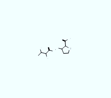 CC(O)C(N)C(=O)OOC1CCNC1C(=O)O